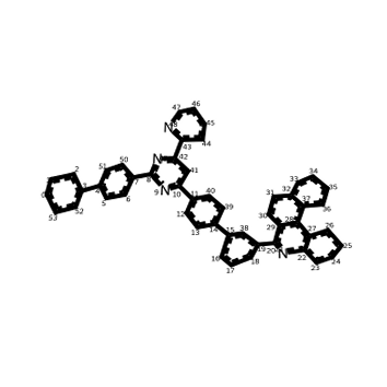 c1ccc(-c2ccc(-c3nc(-c4ccc(-c5cccc(-c6nc7ccccc7c7c6ccc6ccccc67)c5)cc4)cc(-c4ccccn4)n3)cc2)cc1